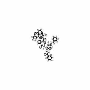 C[C@H]1C[C@@H](C(=O)O[C@@H](C)[C@H](NC(=O)OCc2ccccc2)C(=O)OCC(=O)c2ccccc2)N(C(=O)[C@H](C)NC(=O)[C@@H]2CCCCN2C(=O)[C@@H]2CCCN2C(=O)O)C1